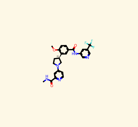 CNC(=O)c1cc(N2CC[C@@H](c3cc(C(=O)Nc4cncc(C(F)(F)F)c4)ccc3OC)C2)ccn1